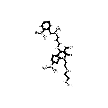 COCCOCCn1c(=O)c(C=O)c(SCCCN(C)Cc2ccccc2B(O)O)c2ccc(N(C)C)cc21